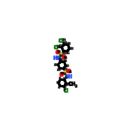 Cc1c(Cl)cccc1NS(=O)(=O)c1ccc(NS(=O)(=O)c2cccc(Cl)c2Cl)cc1